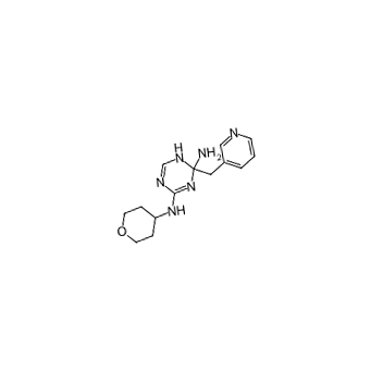 NC1(Cc2cccnc2)N=C(NC2CCOCC2)N=CN1